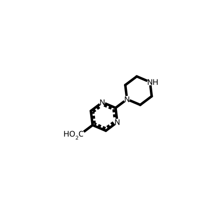 O=C(O)c1cnc(N2CCNCC2)nc1